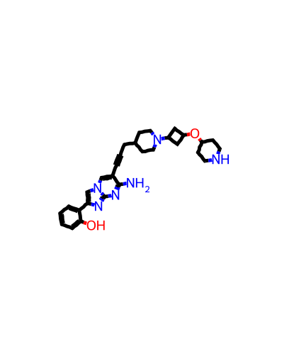 Nc1nc2nc(-c3ccccc3O)cn2cc1C#CCC1CCN(C2CC(OC3CCNCC3)C2)CC1